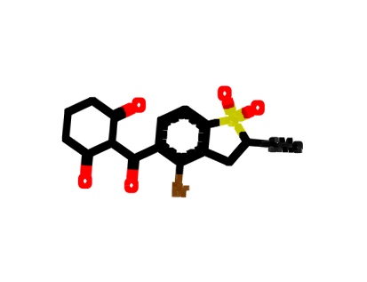 CSC1Cc2c(ccc(C(=O)C3C(=O)CCCC3=O)c2Br)S1(=O)=O